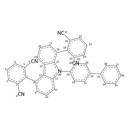 N#Cc1cccc(C#N)c1-c1cccc2c1c1cccc(-c3c(C#N)cccc3C#N)c1n2-c1ccc(-c2ccccc2)cc1